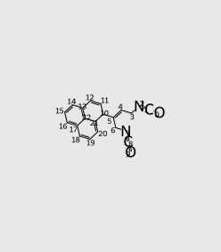 O=C=NCC=C(CN=C=O)C1C=Cc2cccc3cccc1c23